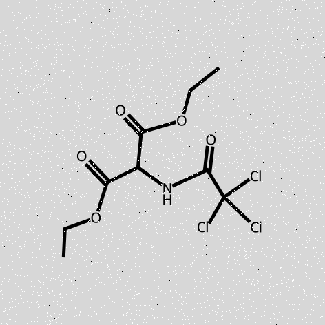 CCOC(=O)C(NC(=O)C(Cl)(Cl)Cl)C(=O)OCC